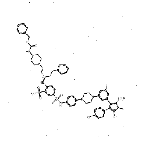 CCn1c(C)c(C(=O)O)c(-c2cc(F)cc(N3CCN(c4ccc(NS(=O)(=O)c5ccc(N[C@H](CCN6CCC(NC(=O)OCc7ccccc7)CC6)CSc6ccccc6)c(S(=O)(=O)C(F)(F)F)c5)cc4)CC3)c2)c1-c1ccc(Cl)cc1